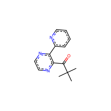 CC(C)(C)C(=O)c1nccnc1-c1ccccn1